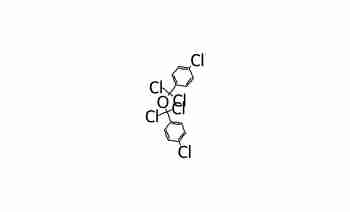 Clc1ccc(C(Cl)(Cl)OC(Cl)(Cl)c2ccc(Cl)cc2)cc1